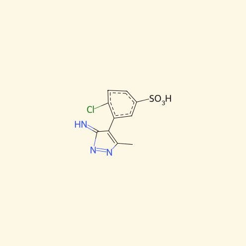 CC1=C(c2cc(S(=O)(=O)O)ccc2Cl)C(=N)N=N1